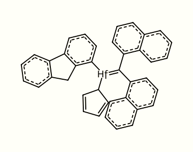 C1=C[CH]([Hf](=[C](c2cccc3ccccc23)c2cccc3ccccc23)[c]2cccc3c2Cc2ccccc2-3)C=C1